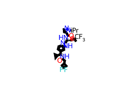 CC(C)n1nccc1C(=O)N[C@@H](CO[C@H](C)C(F)(F)F)c1nc2ccc([C@H](NC(=O)CC3CC(F)(F)C3)C3CC3)cc2[nH]1